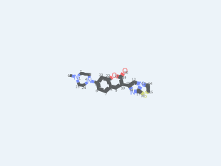 CN1CCN(c2ccc3cc(-c4cn5ccsc5n4)c(=O)oc3c2)CC1